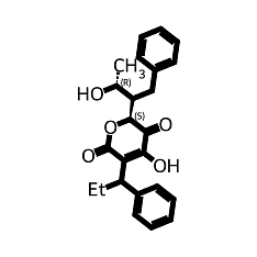 CCC(C1=C(O)C(=O)[C@H](C(Cc2ccccc2)[C@@H](C)O)OC1=O)c1ccccc1